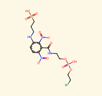 O=C(NCCOP(=O)(O)OCCBr)c1c([N+](=O)[O-])ccc(NCCCS(=O)(=O)O)c1[N+](=O)[O-]